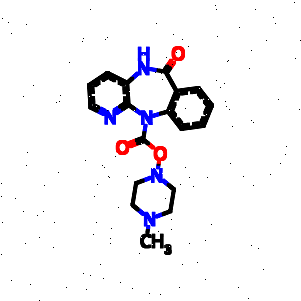 CN1CCN(OC(=O)N2c3ccccc3C(=O)Nc3cccnc32)CC1